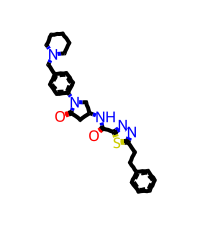 O=C(NC1CC(=O)N(c2ccc(CN3CCCCC3)cc2)C1)c1nnc(CCc2ccccc2)s1